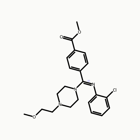 COCCN1CCN(/C(=N\c2ccccc2Cl)c2ccc(C(=O)OC)cc2)CC1